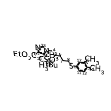 CCOC(=O)c1cn(C[C@H](CCCSc2ccc(C)c(C)c2)O[Si](C)(C)C(C)(C)C)cn1